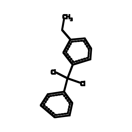 CCc1cccc(C(Cl)(Cl)c2ccccc2)c1